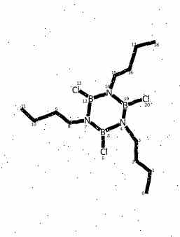 CCCCN1B(Cl)N(CCCC)B(Cl)N(CCCC)B1Cl